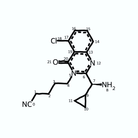 N#CCCCCn1c([C@@H](N)C2CC2)nc2cccc(Cl)c2c1=O